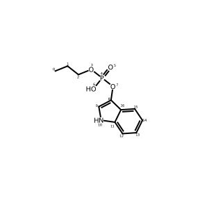 CCCOP(=O)(O)Oc1c[nH]c2ccccc12